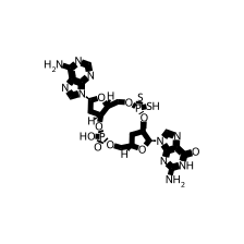 Nc1nc2c(ncn2[C@@H]2O[C@@H]3COP(=O)(O)O[C@H]4C[C@H](n5cnc6c(N)ncnc65)O[C@@H]4COP(=S)(S)O[C@@H]2C3)c(=O)[nH]1